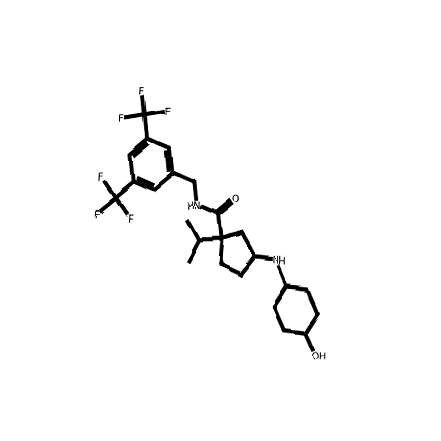 CC(C)C1(C(=O)NCc2cc(C(F)(F)F)cc(C(F)(F)F)c2)CCC(NC2CCC(O)CC2)C1